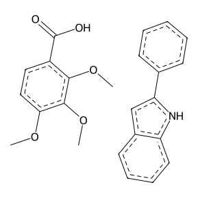 COc1ccc(C(=O)O)c(OC)c1OC.c1ccc(-c2cc3ccccc3[nH]2)cc1